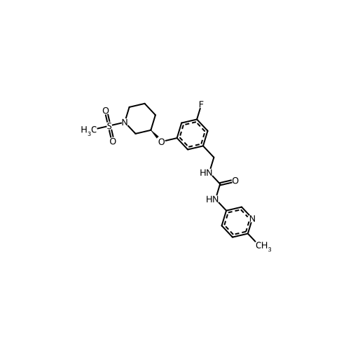 Cc1ccc(NC(=O)NCc2cc(F)cc(O[C@@H]3CCCN(S(C)(=O)=O)C3)c2)cn1